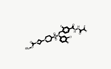 CC(C)(C)OC(=O)N1CC(N2CCC(S(=O)(=O)N(Cc3ccc(C(=O)NNC(=O)C(F)F)cc3F)c3ccc(F)c(Cl)c3)CC2)C1